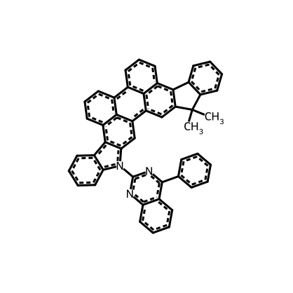 CC1(C)c2ccccc2-c2c1cc1c3cc4c(c5cccc(c6cccc2c61)c35)c1ccccc1n4-c1nc(-c2ccccc2)c2ccccc2n1